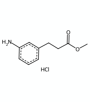 COC(=O)CCc1cccc(N)c1.Cl